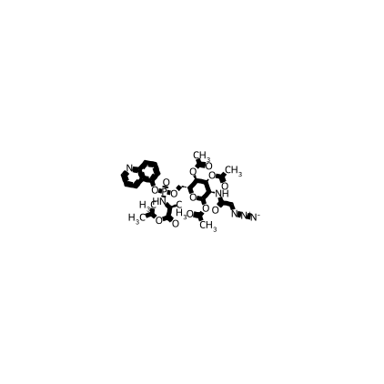 CC(=O)OC1O[C@H](COP(=O)(N[C@@H](C)C(=O)OC(C)C)Oc2cccc3ncccc23)[C@@H](OC(C)=O)[C@H](OC(C)=O)[C@@H]1NC(=O)CN=[N+]=[N-]